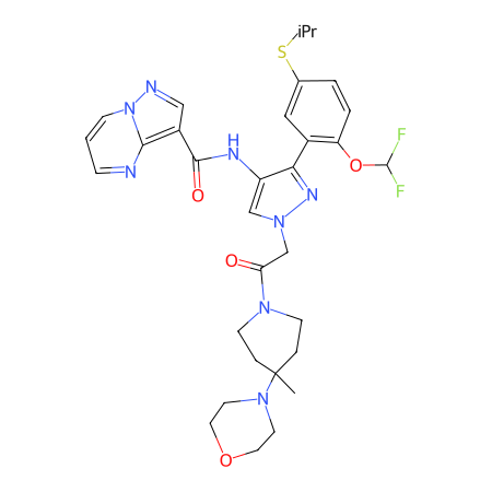 CC(C)Sc1ccc(OC(F)F)c(-c2nn(CC(=O)N3CCC(C)(N4CCOCC4)CC3)cc2NC(=O)c2cnn3cccnc23)c1